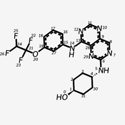 O[C@H]1CC[C@H](Nc2ncc3ncnc(Nc4cccc(OC(F)(F)C(F)F)c4)c3n2)CC1